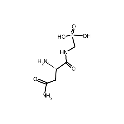 NC(=O)C[C@H](N)C(=O)NCP(=O)(O)O